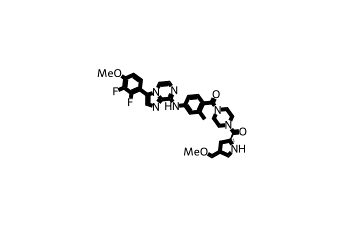 COCC1CN[C@H](C(=O)N2CCN(C(=O)c3ccc(Nc4nccn5c(-c6ccc(OC)c(F)c6F)cnc45)cc3C)CC2)C1